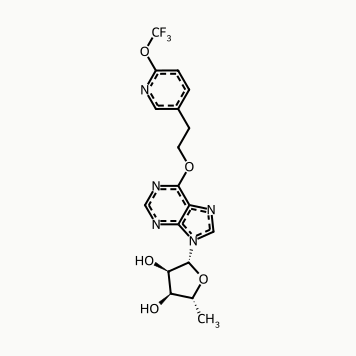 C[C@H]1O[C@@H](n2cnc3c(OCCc4ccc(OC(F)(F)F)nc4)ncnc32)[C@H](O)[C@@H]1O